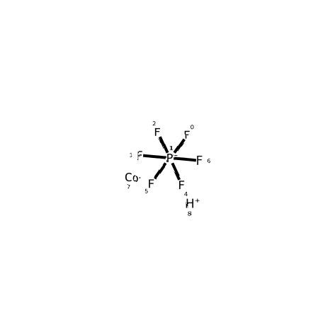 F[P-](F)(F)(F)(F)F.[Co].[H+]